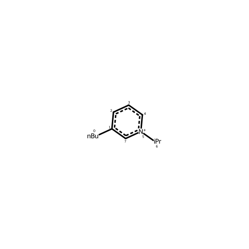 CCCCc1ccc[n+](C(C)C)c1